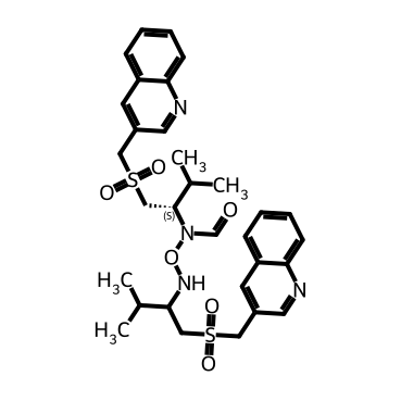 CC(C)C(CS(=O)(=O)Cc1cnc2ccccc2c1)NON(C=O)[C@H](CS(=O)(=O)Cc1cnc2ccccc2c1)C(C)C